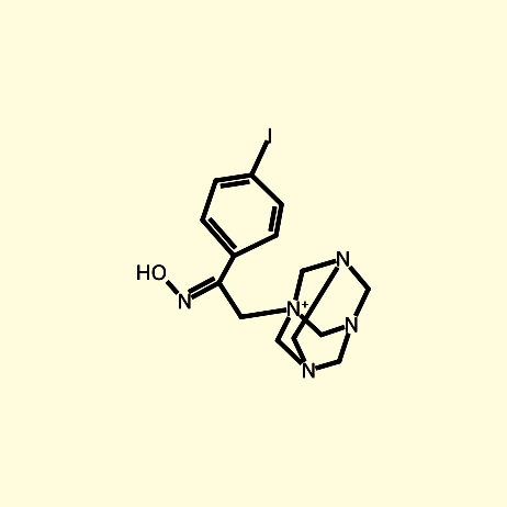 O/N=C(/C[N+]12CN3CN(CN(C3)C1)C2)c1ccc(I)cc1